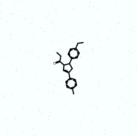 CCC(=O)C1C=C(c2ccc(C)cc2)CC1c1ccc(CC)cc1